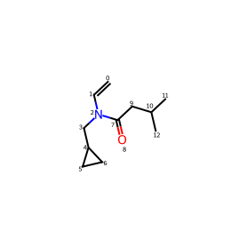 C=CN(CC1CC1)C(=O)CC(C)C